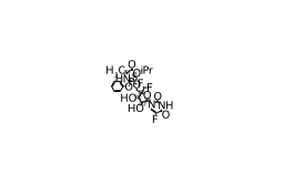 CC(C)OC(=O)[C@H](C)NP(=S)(OC[C@@]1(C(F)F)O[C@@H](n2cc(F)c(=O)[nH]c2=O)[C@H](O)[C@@H]1O)Oc1ccccc1